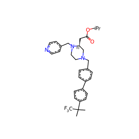 CC(C)OC(=O)C[C@H]1CN(Cc2ccc(-c3ccc(C(C)(C)C(F)(F)F)cc3)cc2)CCN1Cc1ccncc1